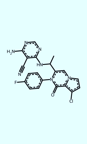 CC(Nc1ncnc(N)c1C#N)c1cn2ccc(Cl)c2c(=O)n1-c1ccc(F)cc1